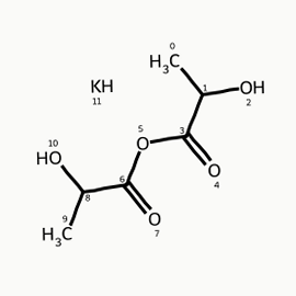 CC(O)C(=O)OC(=O)C(C)O.[KH]